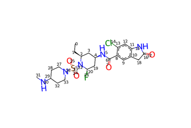 CC[C@H]1C[C@@H](NC(=O)c2cc3c(cc2Cl)NC(=O)C3)C[C@@H](F)N1S(=O)(=O)N1CCC(NC)CC1